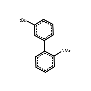 CNc1ccccc1-c1cccc(C(C)(C)C)c1